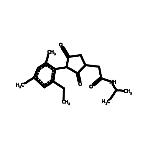 CCc1cc(C)cc(C)c1C1C(=O)CC(CC(=O)NC(C)C)C1=O